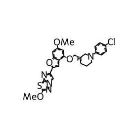 COc1cc(OC[C@@H]2CCCN(c3ccc(Cl)cc3)C2)c2cc(-c3cn4nc(OC)sc4n3)oc2c1